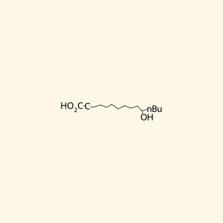 CCCCC(O)CCCCCCCCCC(=O)O